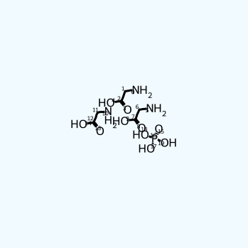 NCC(=O)O.NCC(=O)O.NCC(=O)O.O=P(O)(O)O